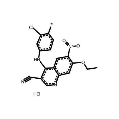 CCOc1cc2ncc(C#N)c(Nc3ccc(F)c(Cl)c3)c2cc1[N+](=O)[O-].Cl